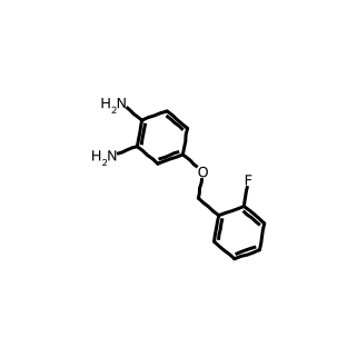 Nc1ccc(OCc2ccccc2F)cc1N